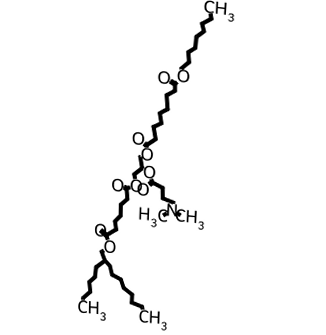 CCCCCCCCCOC(=O)CCCCCCCC(=O)OCC(COC(=O)CCCCCC(=O)OCC(CCCCCC)CCCCCCCC)OC(=O)CCCN(C)C